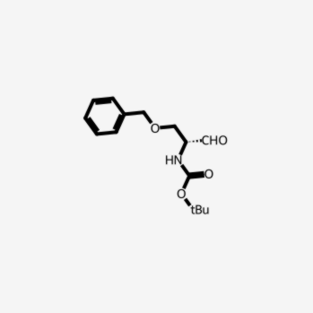 CC(C)(C)OC(=O)N[C@@H](C=O)COCc1ccccc1